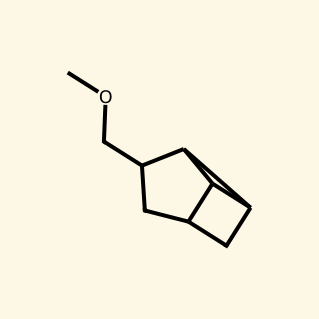 COCC1CC2CC3C1C23